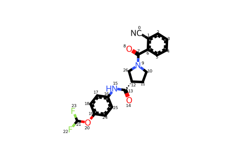 N#Cc1ccccc1C(=O)N1CC[C@H](C(=O)Nc2ccc(OC(F)F)cc2)C1